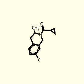 C[C@@H]1Cc2ccc(Cl)cc2CN1C(=O)C1CC1